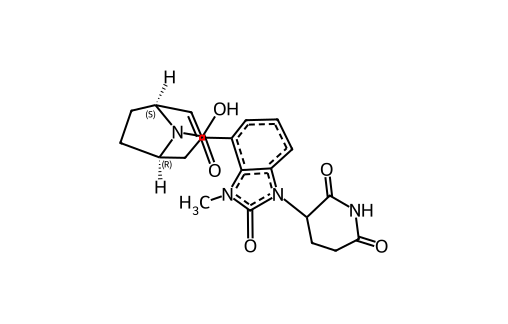 Cn1c(=O)n(C2CCC(=O)NC2=O)c2cccc(C3=C[C@@H]4CC[C@H](C3)N4C(=O)O)c21